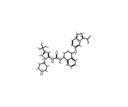 CC(C)c1nnc2ccc(O[C@@H]3CC[C@H](NC(=O)Nc4cc(C(C)(C)C)nn4C4CCNCC4)c4ccccc43)cn12